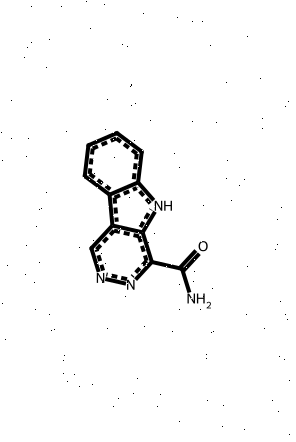 NC(=O)c1nncc2c1[nH]c1ccccc12